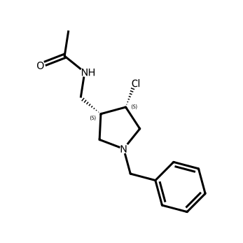 CC(=O)NC[C@H]1CN(Cc2ccccc2)C[C@H]1Cl